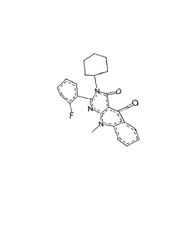 Cn1c2ccccc2c(=O)c2c(=O)n(C3CCCCC3)c(-c3ccccc3F)nc21